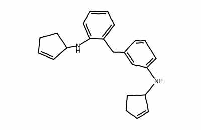 C1=CC(Nc2cccc(Cc3ccccc3NC3C=CCC3)c2)CC1